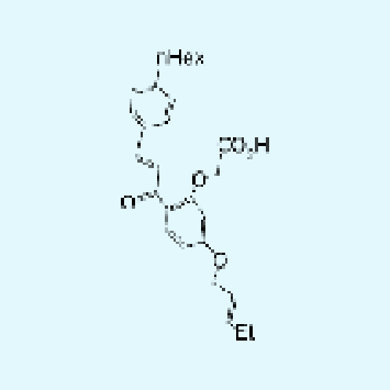 CC/C=C/COc1ccc(C(=O)/C=C/c2ccc(CCCCCC)cc2)c(OCC(=O)O)c1